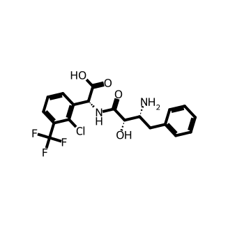 N[C@H](Cc1ccccc1)[C@H](O)C(=O)N[C@@H](C(=O)O)c1cccc(C(F)(F)F)c1Cl